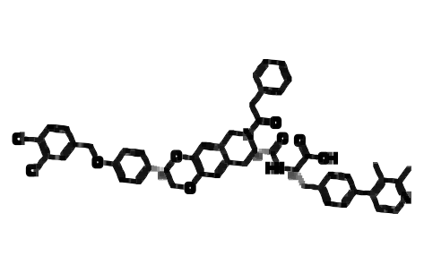 Cc1nccc(-c2ccc(C[C@H](NC(=O)[C@@H]3Cc4cc5c(cc4CN3C(=O)Cc3ccccc3)O[C@@H](c3ccc(OCc4ccc(Cl)c(Cl)c4)cc3)CO5)C(=O)O)cc2)c1C